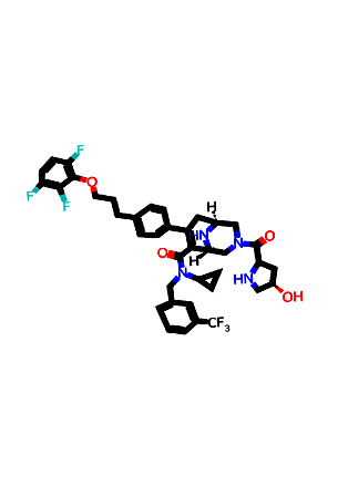 O=C(C1C[C@@H](O)CN1)N1C[C@@H]2CC(c3ccc(CCCOc4c(F)ccc(F)c4F)cc3)=C(C(=O)N(Cc3cccc(C(F)(F)F)c3)C3CC3)[C@@H](C1)N2